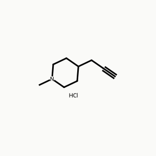 C#CCC1CCN(C)CC1.Cl